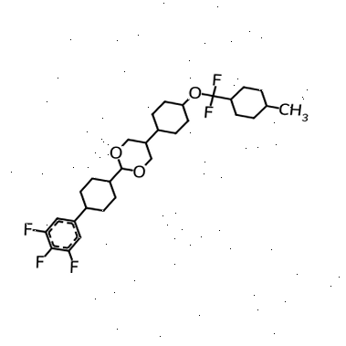 CC1CCC(C(F)(F)OC2CCC(C3COC(C4CCC(c5cc(F)c(F)c(F)c5)CC4)OC3)CC2)CC1